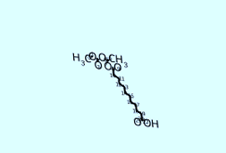 COC(=O)OC(C)OC(=O)CCCCCCCCCCC(=O)O